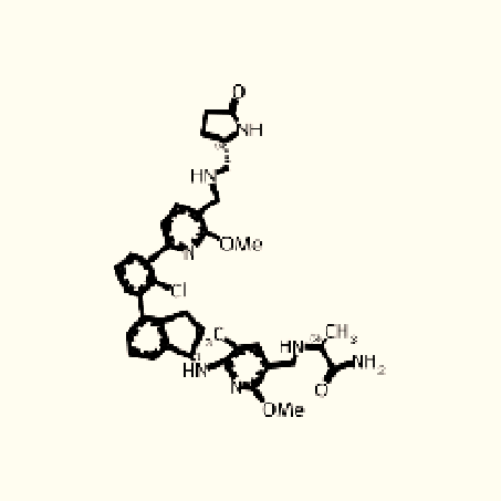 COc1nc(-c2cccc(-c3cccc4c3CC[C@@H]4Nc3nc(OC)c(CN[C@@H](C)C(N)=O)cc3C(F)(F)F)c2Cl)ccc1CNC[C@@H]1CCC(=O)N1